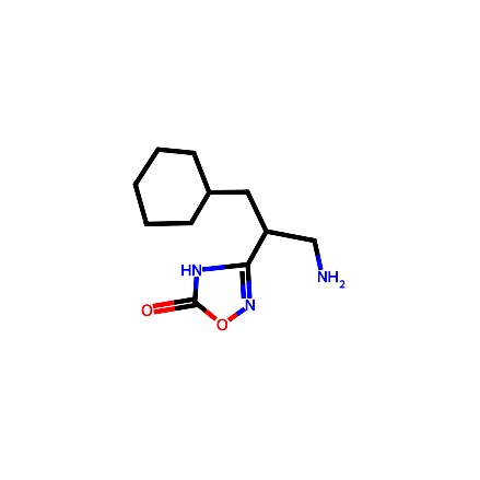 NCC(CC1CCCCC1)c1noc(=O)[nH]1